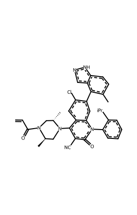 C=CC(=O)N1C[C@H](C)N(c2c(C#N)c(=O)n(-c3ccccc3C(C)C)c3cc(-c4c(C)ccc5[nH]ncc45)c(Cl)cc23)C[C@H]1C